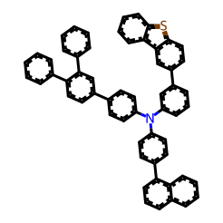 c1ccc(-c2ccc(-c3ccc(N(c4ccc(-c5cccc6ccccc56)cc4)c4cccc(-c5ccc6sc7ccccc7c6c5)c4)cc3)cc2-c2ccccc2)cc1